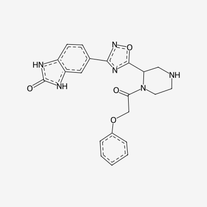 O=C(COc1ccccc1)N1CCNCC1c1nc(-c2ccc3[nH]c(=O)[nH]c3c2)no1